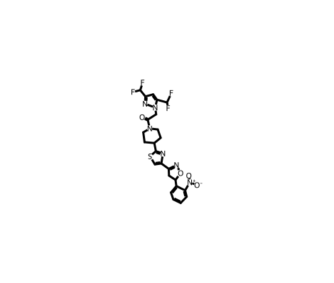 O=C(Cn1nc(C(F)F)cc1C(F)F)N1CCC(c2nc(C3=NOC(c4ccccc4[N+](=O)[O-])C3)cs2)CC1